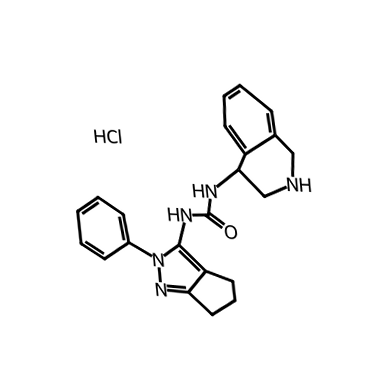 Cl.O=C(Nc1c2c(nn1-c1ccccc1)CCC2)NC1CNCc2ccccc21